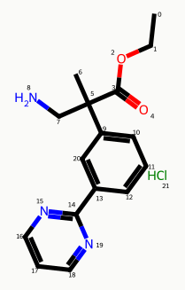 CCOC(=O)C(C)(CN)c1cccc(-c2ncccn2)c1.Cl